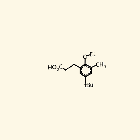 CCOc1c(C)cc(C(C)(C)C)cc1CCC(=O)O